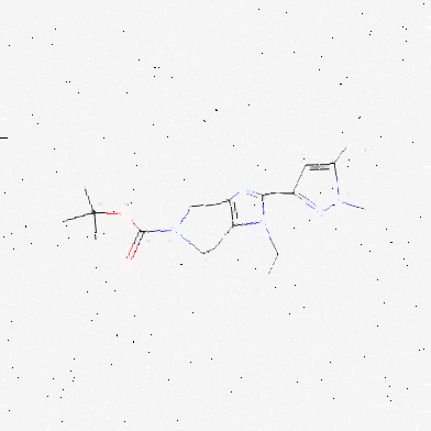 CCn1c(-c2cc(C)n(C)n2)nc2c1CN(C(=O)OC(C)(C)C)C2